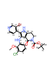 COc1c(Cl)cccc1Nc1c(-c2ccncc2Br)[nH]c2c1C(=O)N(C(=O)OC(C)(C)C)CC2